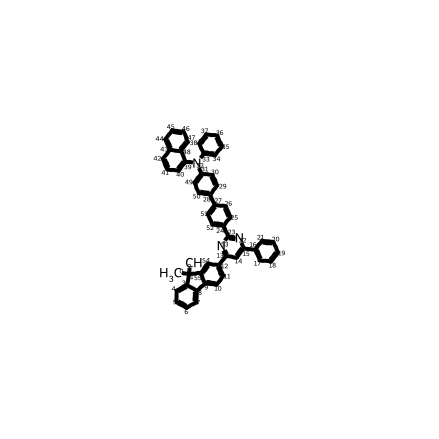 CC1(C)c2ccccc2-c2ccc(-c3cc(-c4ccccc4)nc(-c4ccc(-c5ccc(N(c6ccccc6)c6cccc7ccccc67)cc5)cc4)n3)cc21